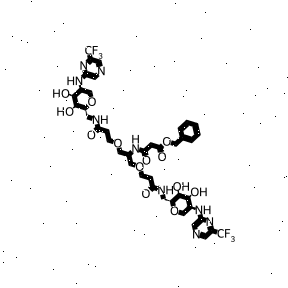 O=C(CCOCC(COCCC(=O)NC[C@H]1OC[C@H](Nc2cncc(C(F)(F)F)n2)[C@@H](O)[C@H]1O)NC(=O)CC(=O)OCc1ccccc1)NC[C@H]1OC[C@H](Nc2cncc(C(F)(F)F)n2)[C@@H](O)[C@H]1O